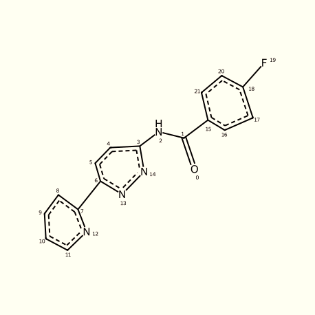 O=C(Nc1ccc(-c2ccccn2)nn1)c1ccc(F)cc1